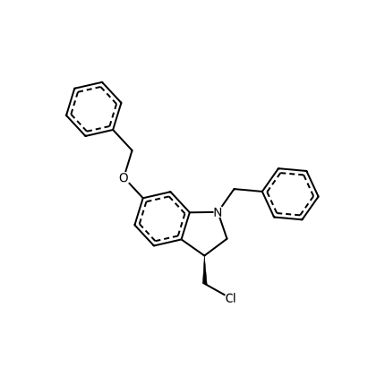 ClC[C@@H]1CN(Cc2ccccc2)c2cc(OCc3ccccc3)ccc21